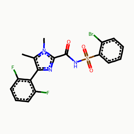 Cc1c(-c2c(F)cccc2F)nc(C(=O)NS(=O)(=O)c2ccccc2Br)n1C